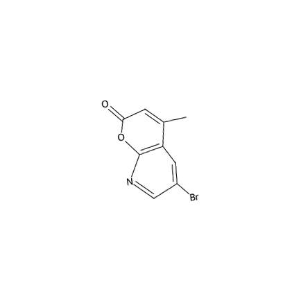 Cc1cc(=O)oc2ncc(Br)cc12